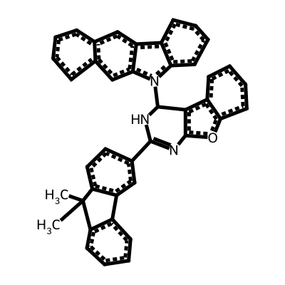 CC1(C)c2ccccc2-c2cc(C3=Nc4oc5ccccc5c4C(n4c5ccccc5c5cc6ccccc6cc54)N3)ccc21